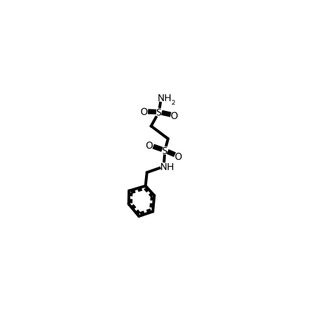 NS(=O)(=O)CCS(=O)(=O)NCc1ccccc1